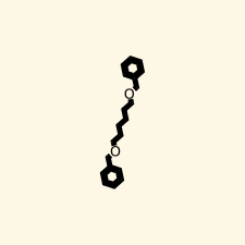 c1ccc(COCCCCCCOCc2ccccc2)cc1